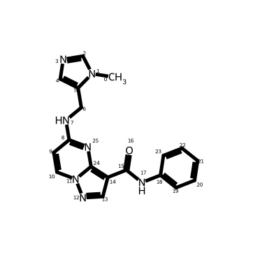 Cn1cncc1CNc1ccn2ncc(C(=O)Nc3ccccc3)c2n1